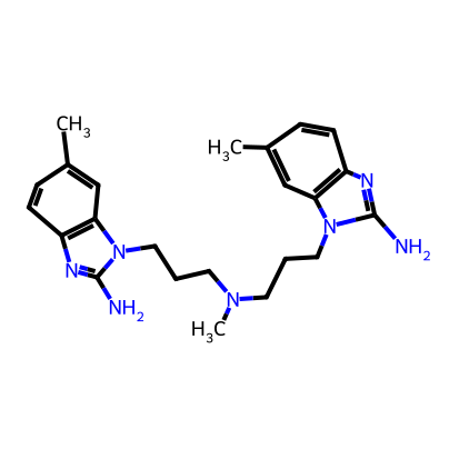 Cc1ccc2nc(N)n(CCCN(C)CCCn3c(N)nc4ccc(C)cc43)c2c1